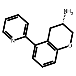 N[C@@H]1COc2cccc(-c3ccccn3)c2C1